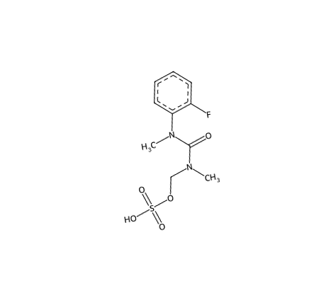 CN(COS(=O)(=O)O)C(=O)N(C)c1ccccc1F